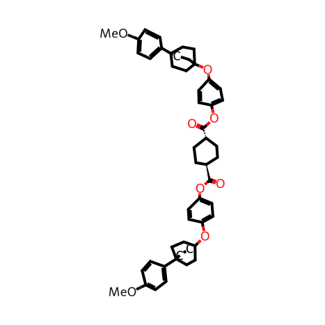 COc1ccc(C23CCC(Oc4ccc(OC(=O)[C@H]5CC[C@H](C(=O)Oc6ccc(OC78CCC(c9ccc(OC)cc9)(CC7)CC8)cc6)CC5)cc4)(CC2)CC3)cc1